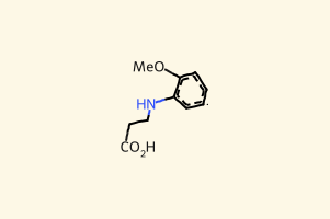 COc1cc[c]cc1NCCC(=O)O